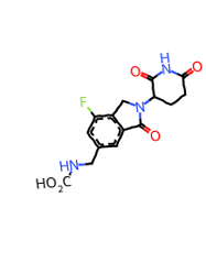 O=C(O)NCc1cc(F)c2c(c1)C(=O)N(C1CCC(=O)NC1=O)C2